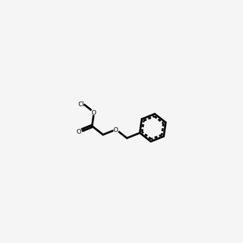 O=C(COCc1ccccc1)OCl